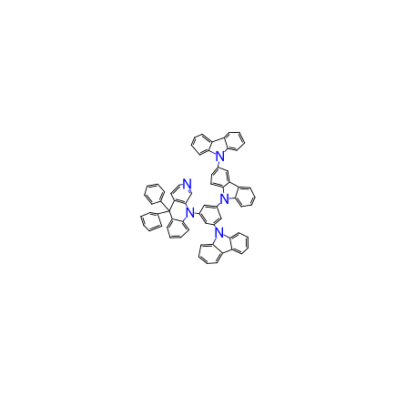 c1ccc(C2(c3ccccc3)c3ccccc3N(c3cc(-n4c5ccccc5c5ccccc54)cc(-n4c5ccccc5c5cc(-n6c7ccccc7c7ccccc76)ccc54)c3)c3cnccc32)cc1